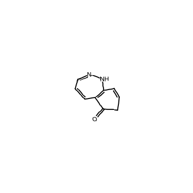 O=C1CC=CC2=C1C=CC=NN2